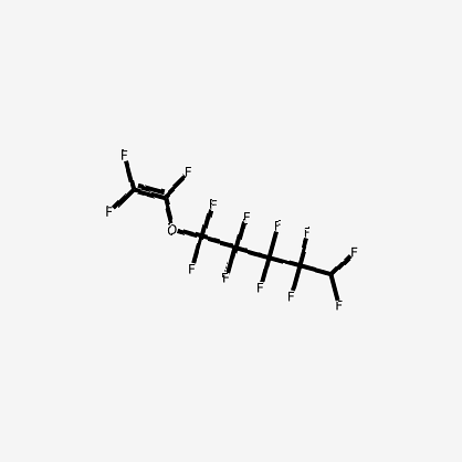 FC(F)=C(F)OC(F)(F)C(F)(F)C(F)(F)C(F)(F)C(F)F